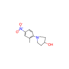 Cc1cc([N+](=O)[O-])ccc1N1CCC(O)CC1